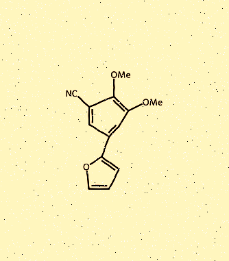 COc1cc(-c2ccco2)cc(C#N)c1OC